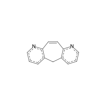 C1=Cc2ncccc2Cc2cccnc21